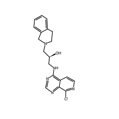 O[C@@H](CNc1ncnc2c(Cl)nccc12)CN1CCc2ccccc2C1